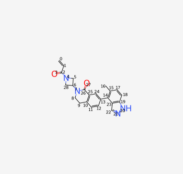 C=CC(=O)N1CC(N2CCc3ccc(-c4c(C)ccc5[nH]ncc45)cc3C2=O)C1